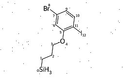 [SiH3]CCCOc1cc(Br)ccc1I